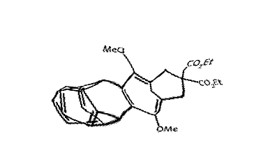 CCOC(=O)C1(C(=O)OCC)Cc2c(c(OC)c3c(c2OC)C2c4cccc(c4)C3c3ccccc32)C1